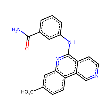 NC(=O)c1cccc(Nc2nc3cc(C(=O)O)ccc3c3cnccc23)c1